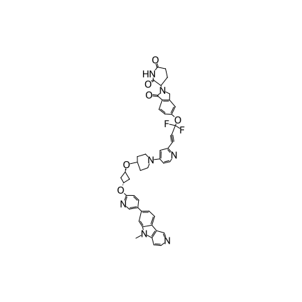 Cn1c2ccncc2c2ccc(-c3ccc(O[C@H]4C[C@H](OC5CCN(c6ccnc(C#CC(F)(F)Oc7ccc8c(c7)CN(C7CCC(=O)NC7=O)C8=O)c6)CC5)C4)nc3)cc21